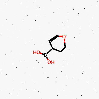 OB(O)C1C=COCC1